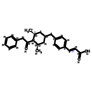 C[C@@H]1CN(Cc2ccc(/C=C/C(=O)O)cc2)C[C@H](C)N1C(=O)Cc1ccccc1